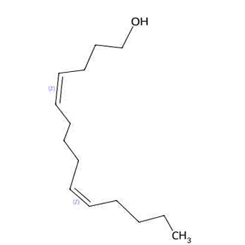 CCCC/C=C\CCC/C=C\CCCO